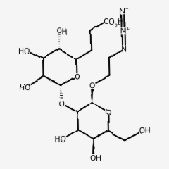 [N-]=[N+]=NCCO[C@H]1OC(CO)[C@@H](O)C(O)C1O[C@H]1OC(CCC(=O)O)[C@@H](O)C(O)C1O